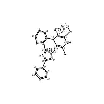 CCOC(=O)C1=C(C)NC(COC(C)=O)=C(C(=O)OCC)C1c1ccccc1-c1nc(-c2ccccc2)cs1